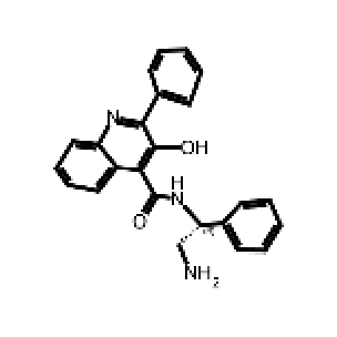 NC[C@H](NC(=O)c1c(O)c(-c2ccccc2)nc2ccccc12)c1ccccc1